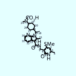 CSc1cc(C)[nH]c(=O)c1CNC(=O)c1c(C)n([C@H](C)C2CCC(N(C)C(=O)O)CC2)c2ncccc12